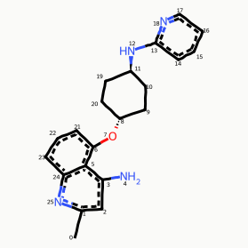 Cc1cc(N)c2c(O[C@H]3CC[C@H](Nc4ccccn4)CC3)cccc2n1